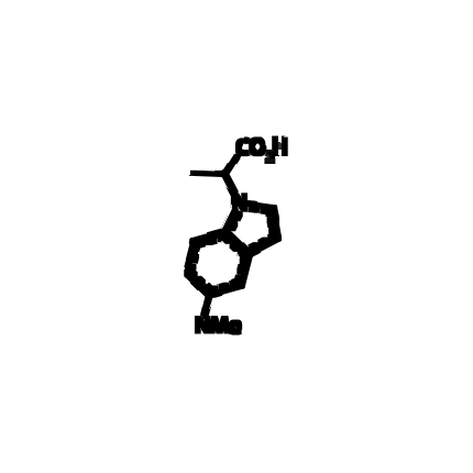 CNc1ccc2c(ccn2C(C)C(=O)O)c1